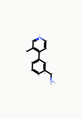 Cc1cnccc1-c1cccc(CN)c1